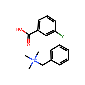 C[N+](C)(C)Cc1ccccc1.O=C(O)c1cccc(Cl)c1